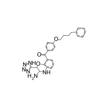 NC1Nc2cccc(C(=O)c3ccc(OCCCCc4ccccc4)cc3)c2OC1c1nnn[nH]1